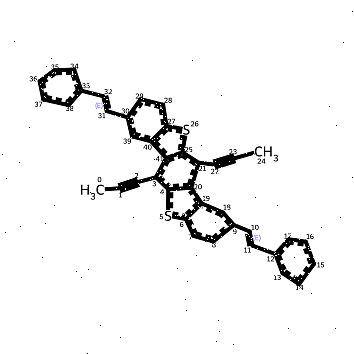 CC#Cc1c2sc3ccc(/C=C/c4ccccc4)cc3c2c(C#CC)c2sc3ccc(/C=C/c4ccccc4)cc3c12